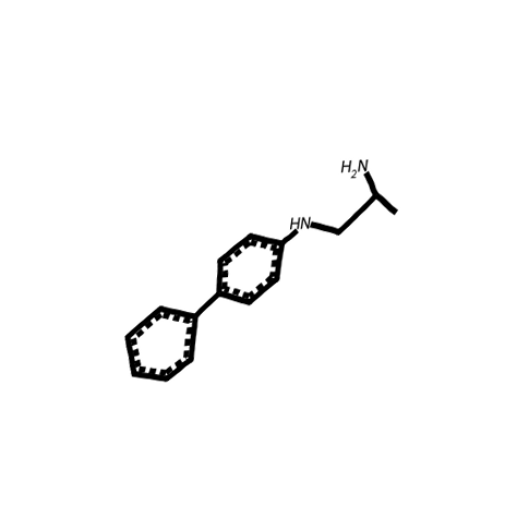 CC(N)CNc1ccc(-c2ccccc2)cc1